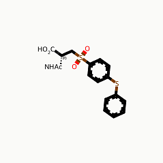 CC(=O)N[C@@H](CS(=O)(=O)c1ccc(Sc2ccccc2)cc1)C(=O)O